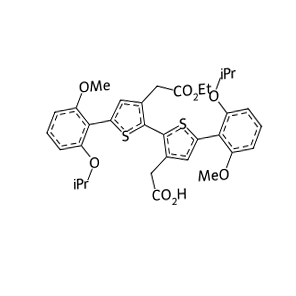 CCOC(=O)Cc1cc(-c2c(OC)cccc2OC(C)C)sc1-c1sc(-c2c(OC)cccc2OC(C)C)cc1CC(=O)O